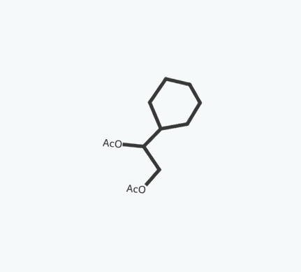 CC(=O)OCC(OC(C)=O)C1CCCCC1